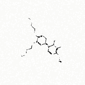 COCCOC1=CC/C(=C2/C=CC(OC=O)=C(F)C2C)C=C1OCCOC